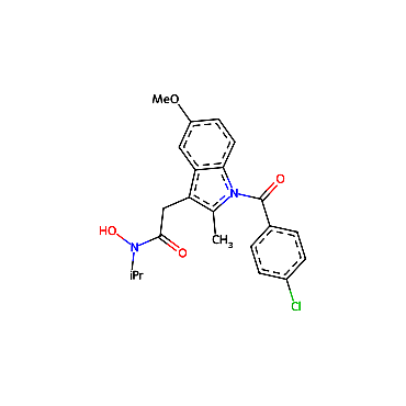 COc1ccc2c(c1)c(CC(=O)N(O)C(C)C)c(C)n2C(=O)c1ccc(Cl)cc1